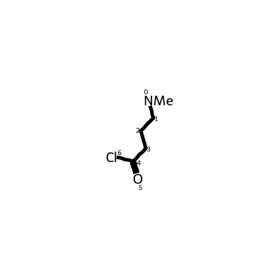 CNCCCC(=O)Cl